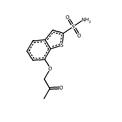 CC(=O)COc1cccc2cc(S(N)(=O)=O)sc12